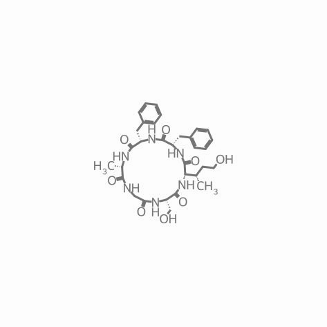 C[C@@H]1NC(=O)[C@H](Cc2ccccc2)NC(=O)[C@H](Cc2ccccc2)NC(=O)[C@H]([C@@H](C)CCO)NC(=O)[C@H](CO)NC(=O)CNC1=O